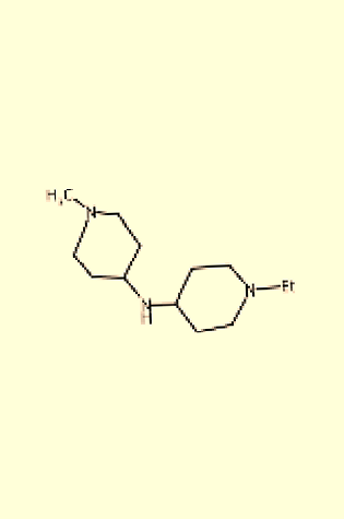 CCN1CCC(NC2CCN(C)CC2)CC1